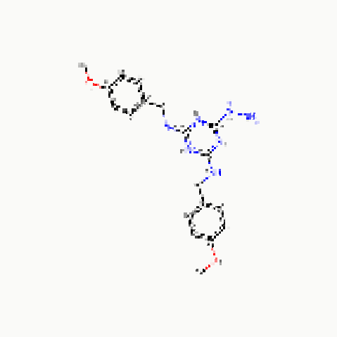 COc1ccc(CNc2nc(NN)nc(NCc3ccc(OC)cc3)n2)cc1